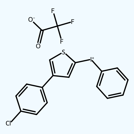 Clc1ccc(-c2csc([I+]c3ccccc3)c2)cc1.O=C([O-])C(F)(F)F